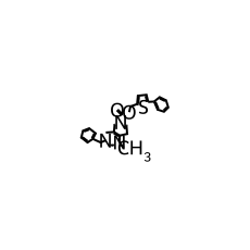 CN1CN(Cc2ccccc2)CC2=C1CCN(C(=O)OCc1ccc(-c3ccccc3)s1)C2